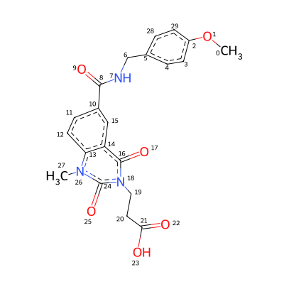 COc1ccc(CNC(=O)c2ccc3c(c2)c(=O)n(CCC(=O)O)c(=O)n3C)cc1